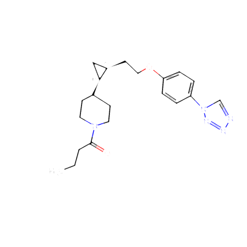 CCCC(=O)N1CCC([C@H]2C[C@H]2CCOc2ccc(-n3cnnn3)cc2)CC1